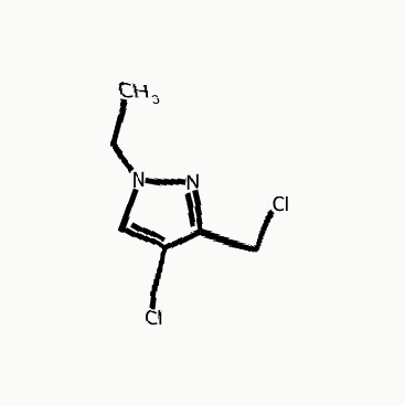 CCn1cc(Cl)c(CCl)n1